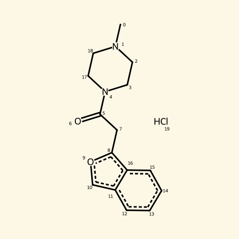 CN1CCN(C(=O)Cc2occ3ccccc23)CC1.Cl